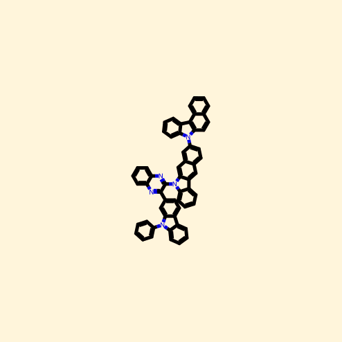 c1ccc(-n2c3ccccc3c3ccc(-c4nc5ccccc5nc4-n4c5ccccc5c5cc6ccc(-n7c8ccccc8c8c9ccccc9ccc87)cc6cc54)cc32)cc1